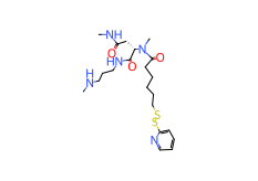 CNCCCNC(=O)[C@H](CC(=O)NC)N(C)C(=O)CCCCCSSc1ccccn1